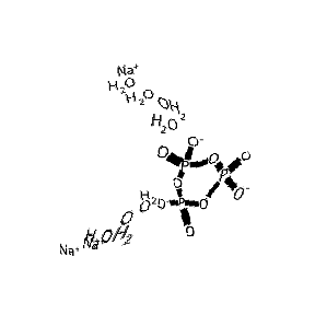 O.O.O.O.O.O.O.O=P1([O-])OP(=O)([O-])OP(=O)([O-])O1.[Na+].[Na+].[Na+]